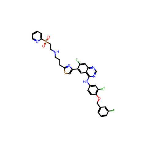 O=S(=O)(CCNCCCc1nc(-c2cc3c(Nc4ccc(OCc5cccc(F)c5)c(Cl)c4)ncnc3cc2F)cs1)c1ccccn1